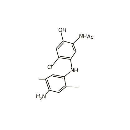 CC(=O)Nc1cc(Nc2cc(C)c(N)cc2C)c(Cl)cc1O